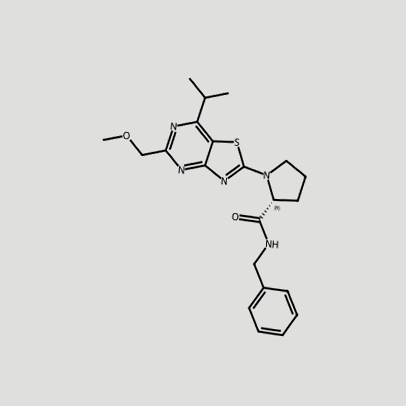 COCc1nc(C(C)C)c2sc(N3CCC[C@@H]3C(=O)NCc3ccccc3)nc2n1